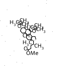 COC(=O)CC[C@@H](C)[C@H]1CCC2C3C(O[Si](C)(C)C)=CC4C[C@H](O[Si](C)(C)C)CC[C@]4(C)C3CC[C@@]21C